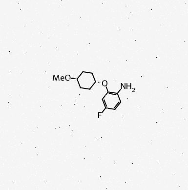 CO[C@H]1CC[C@H](Oc2cc(F)ccc2N)CC1